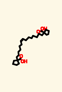 O=C(O)C1(CCCCCC/C=C\CCCCCCCC2(C(=O)O)CCCC2)CCCC1